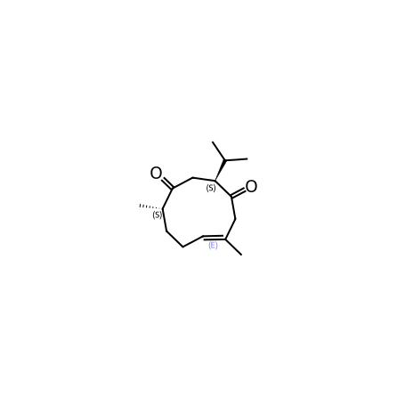 C/C1=C\CC[C@H](C)C(=O)C[C@@H](C(C)C)C(=O)C1